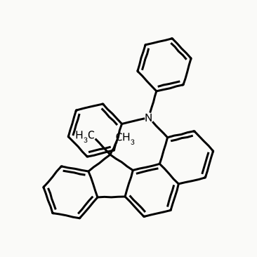 CC1(C)c2ccccc2-c2ccc3cccc(N(c4ccccc4)c4ccccc4)c3c21